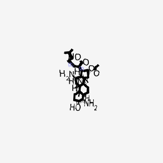 CC(=O)O[C@H]1C[C@@]2(C)[C@H](/C1=C(\C=C/C=C(C)C)C(=O)O)[C@@H](N)C[C@H]1[C@@]3(C)CC[C@@H](O)[C@@H](N)[C@@H]3CC[C@@]12N